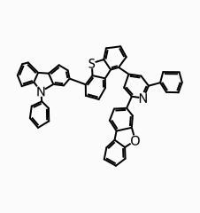 c1ccc(-c2cc(-c3cccc4sc5c(-c6ccc7c8ccccc8n(-c8ccccc8)c7c6)cccc5c34)cc(-c3ccc4c(c3)oc3ccccc34)n2)cc1